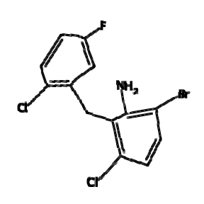 Nc1c(Br)ccc(Cl)c1Cc1cc(F)ccc1Cl